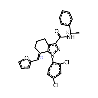 C[C@@H](NC(=O)c1nn(-c2ccc(Cl)cc2Cl)c2c1CCC/C2=C\c1ccco1)c1ccccc1